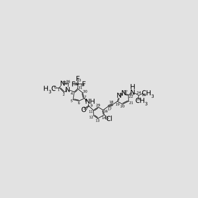 Cc1cn(-c2ccc(NC(=O)c3ccc(Cl)c(C#Cc4ccc(NC(C)C)nn4)c3)cc2C(F)(F)F)cn1